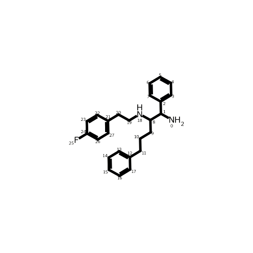 NC(c1ccccc1)C(CCCc1ccccc1)NCCc1ccc(F)cc1